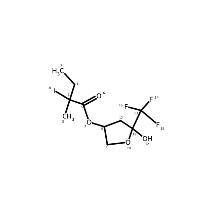 CCC(C)(I)C(=O)OC1COC(O)(C(F)(F)F)C1